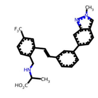 CC(NCc1ccc(C(F)(F)F)cc1C=Cc1cccc(-c2ccc3cn(C)nc3c2)c1)C(=O)O